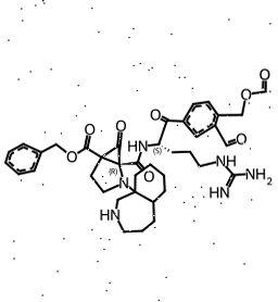 N=C(N)NCCC[C@H](NC(=O)[C@]12C(=O)C1(C(=O)OCc1ccccc1)CCN2C12CCCCC1CCCNC2)C(=O)c1ccc(CO[C]=O)c(C=O)c1